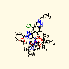 CCn1cc2c(Cl)c(-c3nn(C4CCCCO4)c4nc(N5[C@@H]6CC[C@H]5C[C@@](C)(NC(=O)OC(C)(C)C)C6)n(C)c(=O)c34)ccc2n1